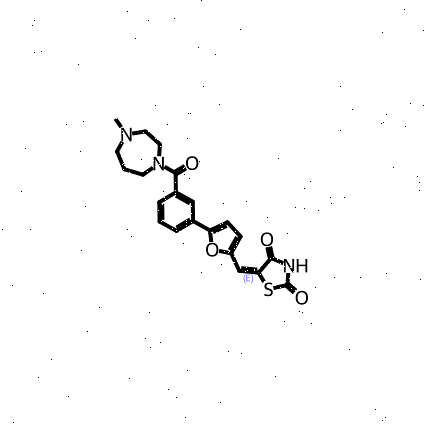 CN1CCCN(C(=O)c2cccc(-c3ccc(/C=C4/SC(=O)NC4=O)o3)c2)CC1